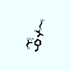 C=C(C)C(=O)OCCO.C=Cc1ccccc1.CC/C=C(\C)C(=O)O